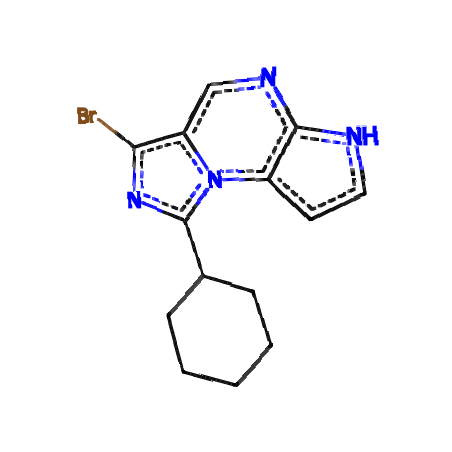 Brc1nc(C2CCCCC2)n2c1cnc1[nH]ccc12